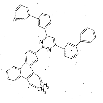 C=Cc1c(C=C)c2cc(-c3nc(-c4cccc(-c5ccccc5)c4)cc(-c4cccc(-c5cccnc5)c4)n3)ccc2c2ccccc12